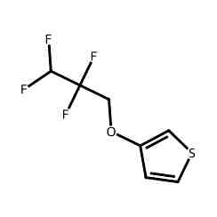 FC(F)C(F)(F)COc1ccsc1